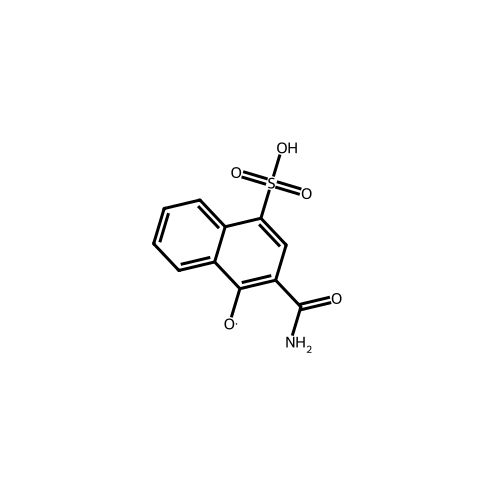 NC(=O)c1cc(S(=O)(=O)O)c2ccccc2c1[O]